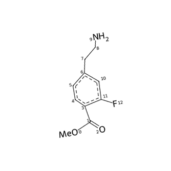 COC(=O)c1ccc(CCN)cc1F